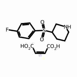 O=C(O)/C=C\C(=O)O.O=S(=O)(c1ccc(F)cc1)C1CCCNC1